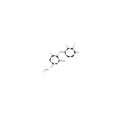 Cc1cc(OCC(=O)O)cc(Cl)c1Cc1ccc(O)c(C(C)C)c1F